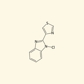 Cln1c(-c2cscn2)nc2ccccc21